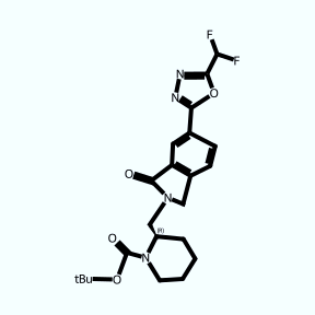 CC(C)(C)OC(=O)N1CCCC[C@@H]1CN1Cc2ccc(-c3nnc(C(F)F)o3)cc2C1=O